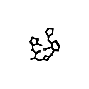 Cc1nonc1OC(=O)N(C)CC1CC(Oc2cccc(CN3CCCC3)c2Cl)C1